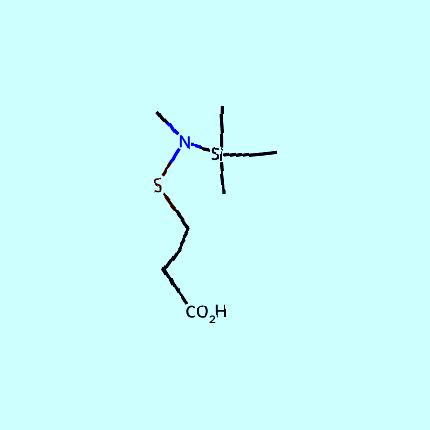 CN(SCCC(=O)O)[Si](C)(C)C